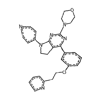 c1ccc(CCOc2cccc(-c3nc(N4CCOCC4)nc4c3CCN4c3ccncc3)c2)nc1